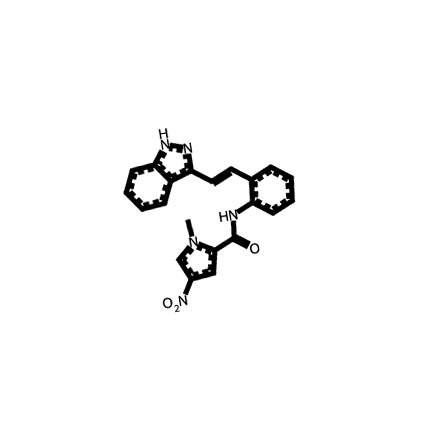 Cn1cc([N+](=O)[O-])cc1C(=O)Nc1ccccc1C=Cc1n[nH]c2ccccc12